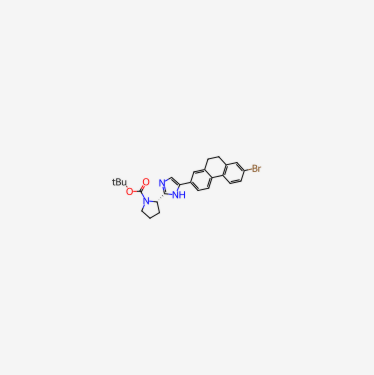 CC(C)(C)OC(=O)N1CCC[C@H]1c1ncc(-c2ccc3c(c2)CCc2cc(Br)ccc2-3)[nH]1